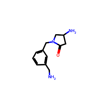 NCc1cccc(CN2CC(N)CC2=O)c1